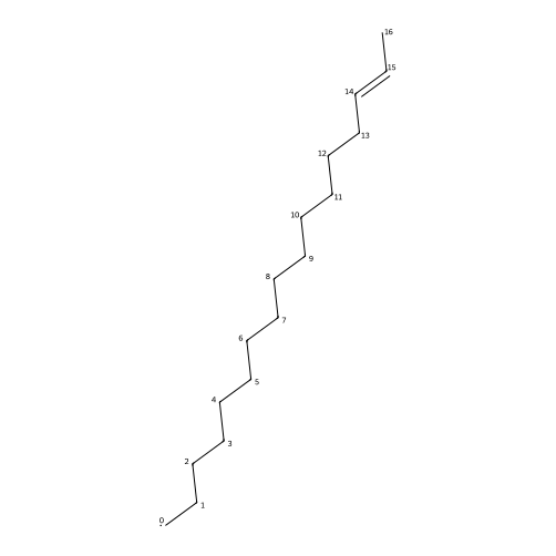 [CH2]CCCCCCCCCCCCC/C=C/C